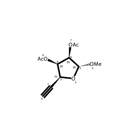 C#C[C@@H]1O[C@@H](OC)[C@H](OC(C)=O)[C@@H]1OC(C)=O